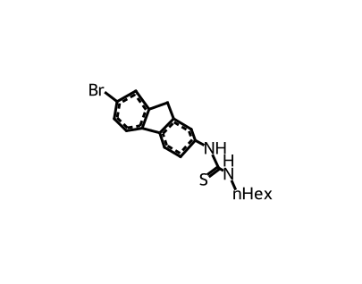 CCCCCCNC(=S)Nc1ccc2c(c1)Cc1cc(Br)ccc1-2